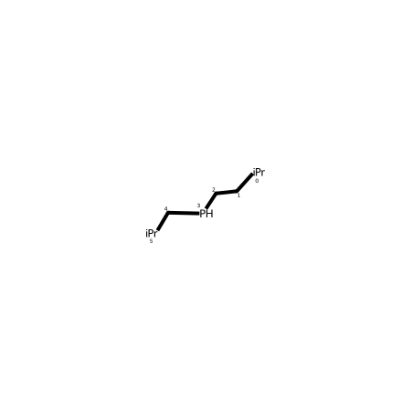 CC(C)CCPCC(C)C